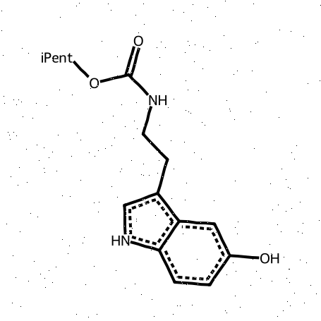 CCCC(C)OC(=O)NCCc1c[nH]c2ccc(O)cc12